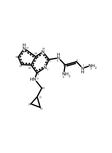 NN/C=C(\N)Nc1nc(NCC2CC2)c2cc[nH]c2n1